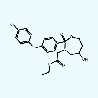 CCOC(=O)CN1CC(O)CCOP1(=O)c1ccc(Oc2ccc(Cl)cc2)cc1